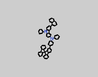 c1ccc(N(c2ccc(-c3ccc4c(c3)C3(c5ccccc5-c5ccccc53)c3ccccc3-4)cc2)c2ccc3c(c2)c2cc(-c4cccc5ccccc45)ccc2n3-c2ccccc2)cc1